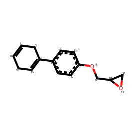 C1=CCC(c2ccc(OCC3CO3)cc2)=CC1